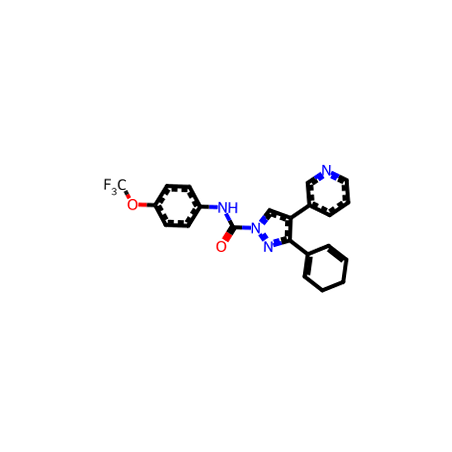 O=C(Nc1ccc(OC(F)(F)F)cc1)n1cc(-c2cccnc2)c(C2=CCCC=C2)n1